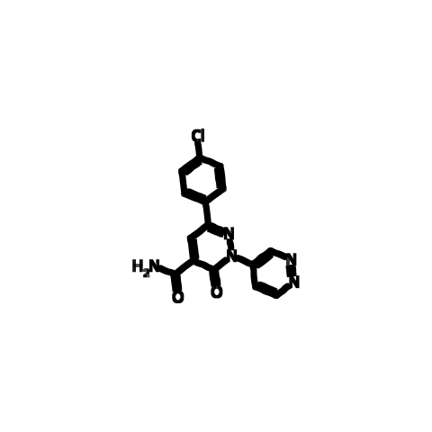 NC(=O)c1cc(-c2ccc(Cl)cc2)nn(-c2ccnnc2)c1=O